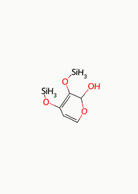 OC1OC=CC(O[SiH3])=C1O[SiH3]